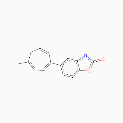 CC1=CC=C(c2ccc3oc(=O)n(C)c3c2)C=CC1